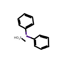 CS(=O)(=O)O.c1ccc([I+]c2ccccc2)cc1